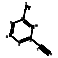 C#Cc1cncc(C(C)C)n1